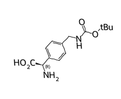 CC(C)(C)OC(=O)NCc1ccc([C@@H](N)C(=O)O)cc1